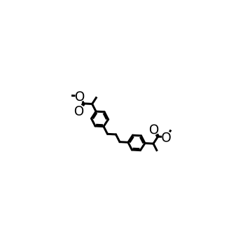 COC(=O)C(C)c1ccc(CCCc2ccc(C(C)C(=O)OC)cc2)cc1